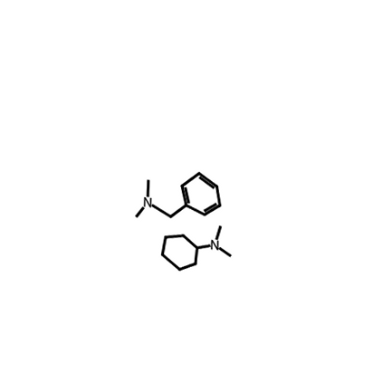 CN(C)C1CCCCC1.CN(C)Cc1ccccc1